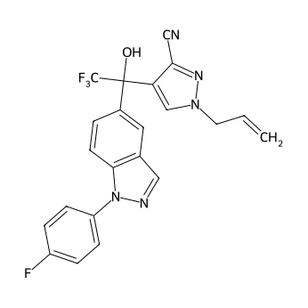 C=CCn1cc(C(O)(c2ccc3c(cnn3-c3ccc(F)cc3)c2)C(F)(F)F)c(C#N)n1